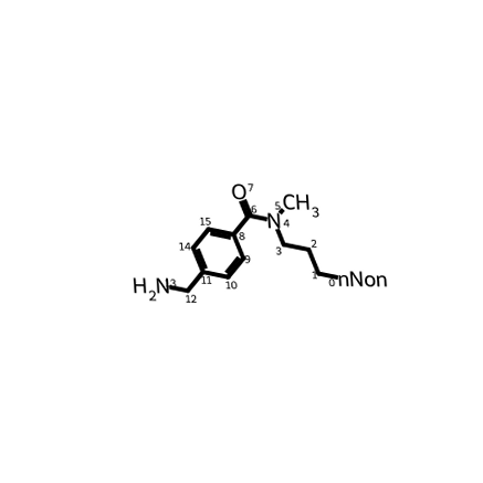 CCCCCCCCCCCCN(C)C(=O)c1ccc(CN)cc1